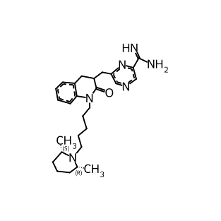 C[C@@H]1CCC[C@H](C)N1CCCCCN1C(=O)C(Cc2cncc(C(=N)N)n2)Cc2ccccc21